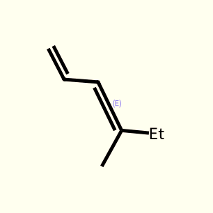 [CH2]C/C(C)=C/C=C